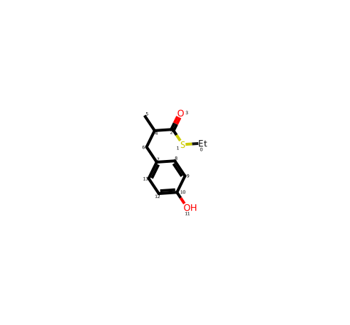 CCSC(=O)C(C)Cc1ccc(O)cc1